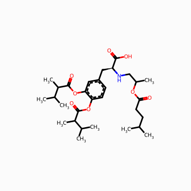 CC(C)CCC(=O)OC(C)CN[C@@H](Cc1ccc(OC(=O)C(C)C(C)C)c(OC(=O)C(C)C(C)C)c1)C(=O)O